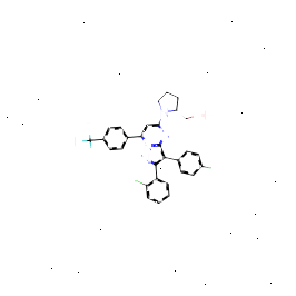 OC[C@@H]1CCCN1c1cc(-c2ccc(C(F)(F)F)cc2)n2nc(-c3ccccc3Cl)c(-c3ccc(Cl)cc3)c2n1